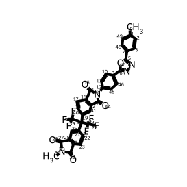 Cc1ccc(-c2nnc(-c3ccc(N4C(=O)c5ccc(C(c6ccc7c(c6)C(=O)N(C)C7=O)(C(F)(F)F)C(F)(F)F)cc5C4=O)cc3)o2)cc1